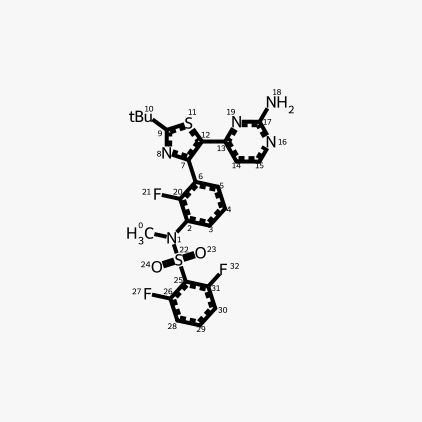 CN(c1cccc(-c2nc(C(C)(C)C)sc2-c2ccnc(N)n2)c1F)S(=O)(=O)c1c(F)cccc1F